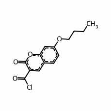 CCCCOc1ccc2cc(C(=O)Cl)c(=O)oc2c1